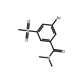 CC(=O)c1cc(C(=O)N(C)C)cc(S(C)(=O)=O)c1